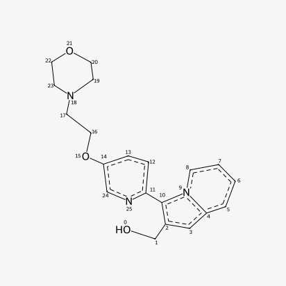 OCc1cc2ccccn2c1-c1ccc(OCCN2CCOCC2)cn1